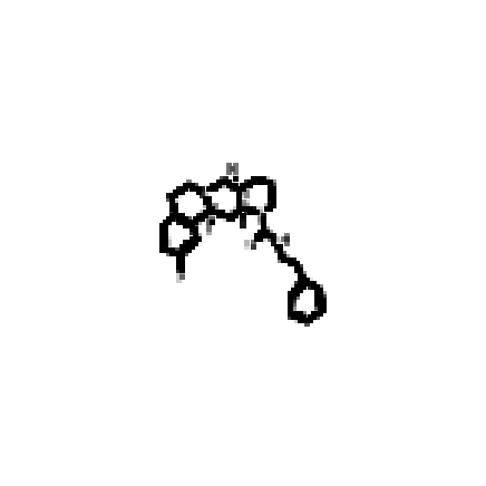 O=C(NCCc1ccccc1)N1CCC[C@@H]2CN3CCc4ccc(F)cc4[C@H]3C[C@@H]21